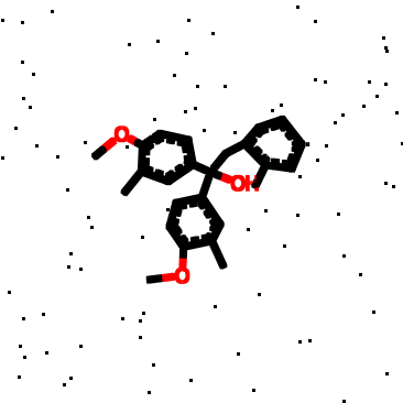 COc1ccc(C(O)(Cc2cc[c]cc2C)c2ccc(OC)c(C)c2)cc1C